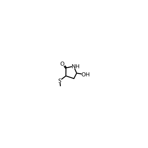 CSC1CC(O)NC1=O